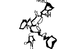 COc1cccc2[nH]c(C(=O)N[C@@H](CC3CCCCC3)C(=O)N[C@@H](C[C@@H]3CCNC3=O)C(=O)COCc3ccccc3)cc12